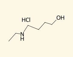 CCNCCCCO.Cl